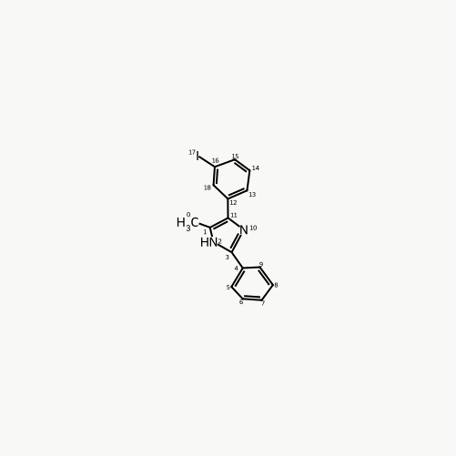 Cc1[nH]c(-c2ccccc2)nc1-c1cccc(I)c1